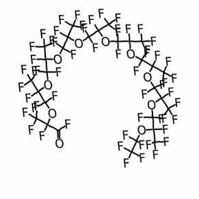 O=C(F)C(F)(OC(F)(F)C(F)(OC(F)(F)C(F)(OC(F)(F)C(F)(OC(F)(F)C(F)(OC(F)(F)C(F)(OC(F)(F)C(F)(OC(F)(F)C(F)(OC(F)(F)C(F)(OC(F)(F)C(F)(F)F)C(F)(F)F)C(F)(F)F)C(F)(F)F)C(F)(F)F)C(F)(F)F)C(F)(F)F)C(F)(F)F)C(F)(F)F)C(F)(F)F